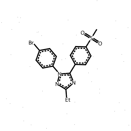 CCc1nc(-c2ccc(S(C)(=O)=O)cc2)n(-c2ccc(Br)cc2)n1